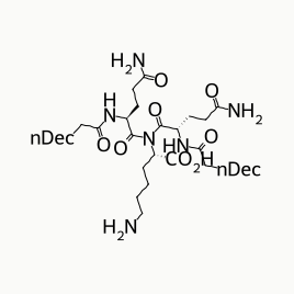 CCCCCCCCCCCC(=O)N[C@@H](CCC(N)=O)C(=O)N(C(=O)[C@H](CCC(N)=O)NC(=O)CCCCCCCCCCC)[C@@H](CCCCN)C(=O)O